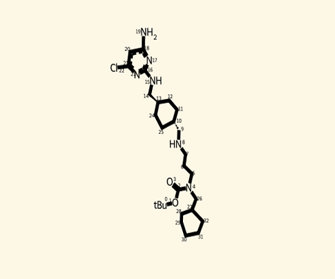 CC(C)(C)OC(=O)N(CCCNC[C@H]1CC[C@H](CNc2nc(N)cc(Cl)n2)CC1)CC1CCCCC1